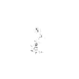 CC(=O)OC[C@H]1O[C@@H](OP(=O)(O)OP(=O)(O)OC[C@H]2O[C@@H](n3cnc4c(N)ncnc43)[C@H](O)[C@@H]2O)[C@@H](OC(C)=O)[C@@H](OC(C)=O)[C@@H]1OC(C)=O